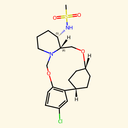 CS(=O)(=O)N[C@H]1CCCN2COc3ccc(Cl)cc3[C@H]3CC[C@H](CC3)OC[C@@H]12